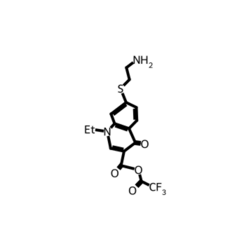 CCn1cc(C(=O)OC(=O)C(F)(F)F)c(=O)c2ccc(SCCN)cc21